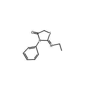 CCN=C1SCC(=O)N1c1ccccc1